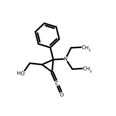 CCN(CC)C1(c2ccccc2)C(=C=O)C1CO